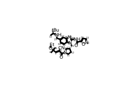 CCOC(C)(C)/C=C(\C#N)C(=O)N1CC[C@@H](Cn2c(NC(=O)c3ccno3)nc3cc(CN[C@@H](C)C(C)(C)C)ccc32)C1